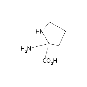 N[C@]1(C(=O)O)CCCN1